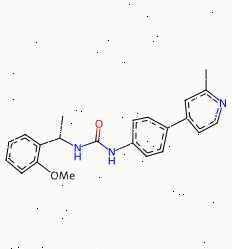 COc1ccccc1C(C)NC(=O)Nc1ccc(-c2ccnc(C)c2)cc1